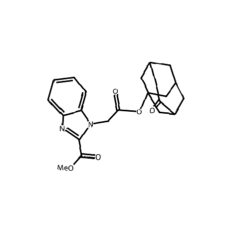 COC(=O)c1nc2ccccc2n1CC(=O)OC12CC3CC(C1)C(=O)C(C3)C2